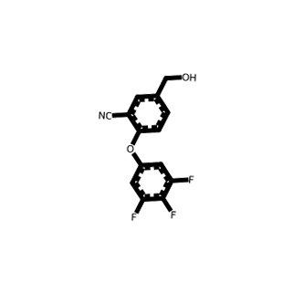 N#Cc1cc(CO)ccc1Oc1cc(F)c(F)c(F)c1